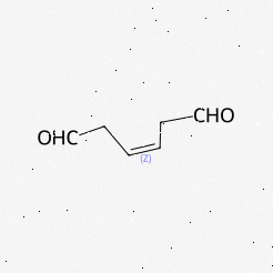 O=CC/C=C\CC=O